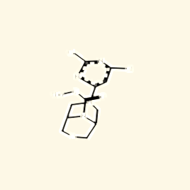 CC(C)(C)OC(=O)N1C2COCC1CN(c1cc(Cl)nc(Cl)n1)C2